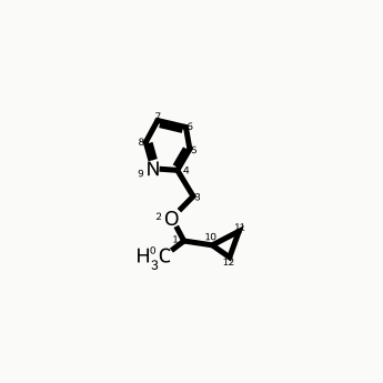 CC(OCc1ccccn1)C1CC1